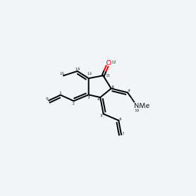 C=C/C=C1/C(=C/C=C)/C(=C\NC)C(=O)/C1=C/C